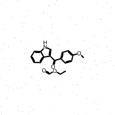 CCOC=O.COc1ccc(C(=O)c2c[nH]c3ccccc23)cc1